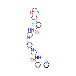 O=C(NC1CCN(c2ccc(CN3CCC(NC(=O)c4cccc(-c5ccc(OC(F)(F)F)cc5)c4F)CC3)cn2)CC1)c1cccc(-c2cccnc2)c1